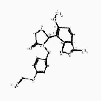 CCOc1ccc(CN2C(=O)CSC2c2c(OC)ccc3c(C)noc23)cc1